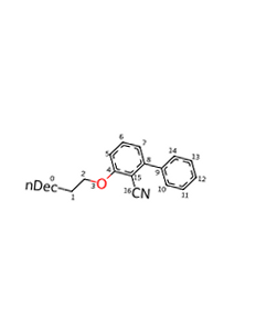 CCCCCCCCCCCCOc1cccc(-c2ccccc2)c1C#N